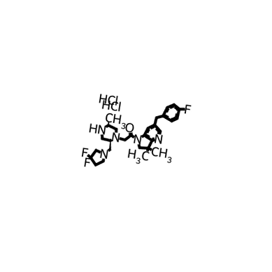 C[C@@H]1CN(CC(=O)N2CC(C)(C)c3ncc(Cc4ccc(F)cc4)cc32)[C@@H](CN2CCC(F)(F)C2)CN1.Cl.Cl